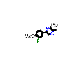 COc1ccc(-c2cnc(C)c(C(C)(C)C)n2)cc1F